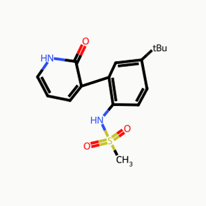 CC(C)(C)c1ccc(NS(C)(=O)=O)c(-c2ccc[nH]c2=O)c1